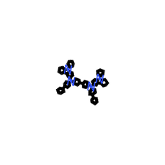 C1=CCCC(n2c3ccccc3c3cc(N(c4ccc(-c5ccccc5)cc4)c4ccc(-c5ccc(N(c6ccc(-c7ccccc7)cc6)c6ccc7c(c6)c6c(n7-c7ccccc7)CCC=C6)cc5)cc4)ccc32)=C1